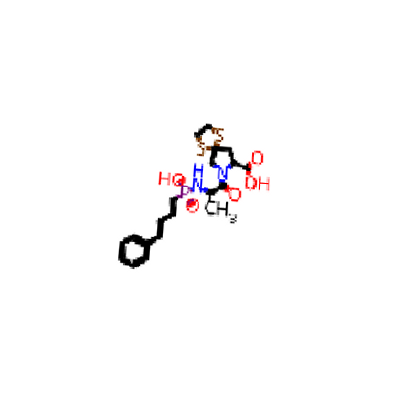 C[C@H](NP(=O)(O)CCCCc1ccccc1)C(=O)N1CC2(C[C@H]1C(=O)O)SCCS2